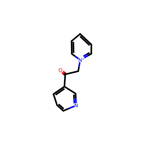 O=C(C[n+]1ccccc1)c1cccnc1